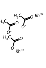 CC(=O)[O-].CC(=O)[O-].CC(=O)[O-].[Rh+3].[Rh+3]